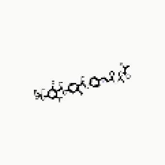 C=C(F)C(=O)OC(C)OC(=O)/C=C/c1ccc(OC(=O)c2ccc(OC(=O)c3c(F)cc(OC(F)(F)F)cc3F)cc2F)cc1